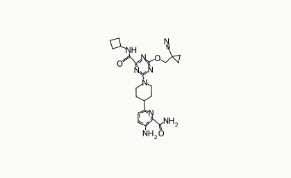 N#CC1(COc2nc(C(=O)NC3CCC3)nc(N3CCC(c4ccc(N)c(C(N)=O)n4)CC3)n2)CC1